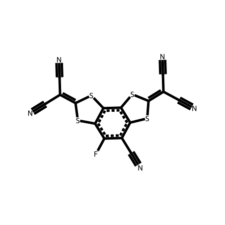 N#CC(C#N)=C1Sc2c(F)c(C#N)c3c(c2S1)SC(=C(C#N)C#N)S3